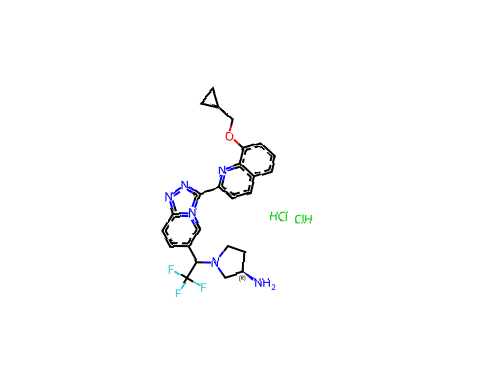 Cl.Cl.N[C@@H]1CCN(C(c2ccc3nnc(-c4ccc5cccc(OCC6CC6)c5n4)n3c2)C(F)(F)F)C1